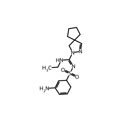 CCN/C(=N\S(=O)(=O)C1C=C(N)C=CC1)N1CC2(C=N1)CCCC2